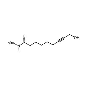 CCCCN(C)C(=O)CCCCCC#CCO